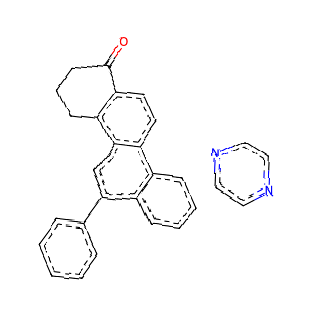 O=C1CCCc2c1ccc1c2cc(-c2ccccc2)c2ccccc21.c1cnccn1